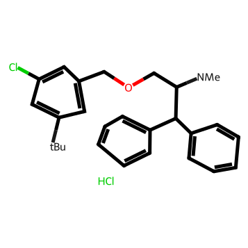 CNC(COCc1cc(Cl)cc(C(C)(C)C)c1)C(c1ccccc1)c1ccccc1.Cl